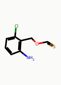 Nc1cccc(Cl)c1COC=S